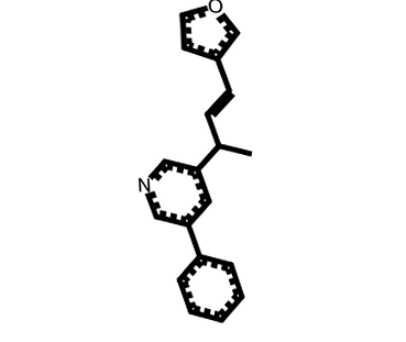 CC(/C=C/c1ccoc1)c1cncc(-c2ccccc2)c1